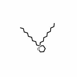 CCCCCCCCC[Si]1(CCCCCCCCC)CCCCO1